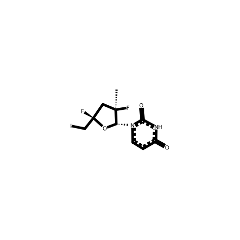 C[C@@]1(F)C[C@@](F)(CI)O[C@H]1n1ccc(=O)[nH]c1=O